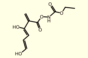 C=C(C(=O)ONC(=O)OCC)C(O)=CC=CO